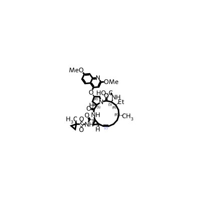 CC[C@@H]1C[C@H](C)CC/C=C\[C@@H]2C[C@@]2(C(=O)NS(=O)(=O)C2(C)CC2)NC(=O)[C@@H]2C[C@@H](Oc3cc(OC)nc4cc(OC)ccc34)CN2C(=O)[C@H]1NC(=O)O